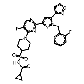 O=C(NS(=O)(=O)C1CCN(c2nc(-c3cc(-c4ccon4)n(Cc4ccccc4F)n3)ncc2F)CC1)C1CC1